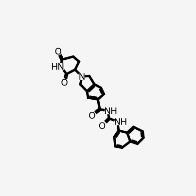 O=C1CCC(N2Cc3ccc(C(=O)NC(=O)Nc4cccc5ccccc45)cc3C2)C(=O)N1